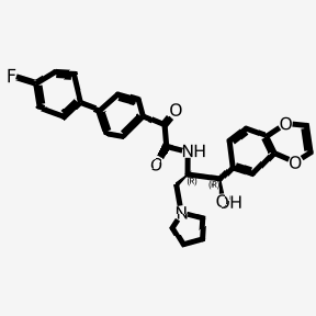 O=C(N[C@H](CN1CCCC1)[C@H](O)c1ccc2c(c1)OC=CO2)C(=O)c1ccc(-c2ccc(F)cc2)cc1